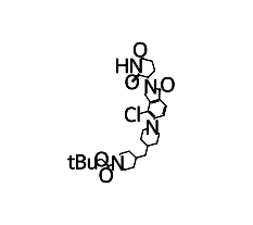 CC(C)(C)OC(=O)N1CCC(CC2CCN(c3ccc4c(c3Cl)CN([C@H]3CCC(=O)NC3=O)C4=O)CC2)CC1